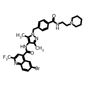 Cc1nn(Cc2ccc(C(=O)NCCN3CCCCC3)cc2)c(C)c1NC(=O)c1cc(C(F)(F)F)nc2ccc(Br)cc12